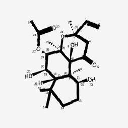 C=C[C@@]1(C)CC(=O)[C@]2(O)[C@@]3(C)[C@@H](O)CCC(C)(C)[C@@H]3[C@@H](O)[C@H](OC(C)=O)[C@@]2(C)O1